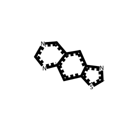 [c]1nc2cc3cncnc3cc2s1